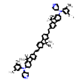 Cc1cc(C)cc(N(c2ccncc2)c2ccc3c(c2)C(C)(C)c2cc(/C=C/c4ccc5c(c4)C(C)(C)c4cc(/C=C/c6ccc7c(c6)C(C)(C)c6cc(N(c8ccncc8)c8cc(C)cc(C)c8)ccc6-7)ccc4-5)ccc2-3)c1